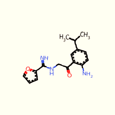 CC(C)c1ccc(N)c(C(=O)CNC(=N)c2ccco2)c1